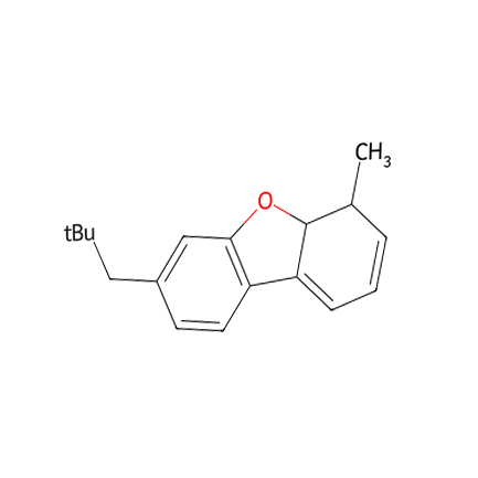 CC1C=CC=C2c3ccc(CC(C)(C)C)cc3OC21